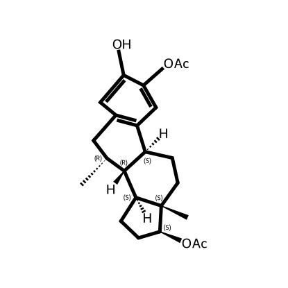 CC(=O)Oc1cc2c(cc1O)C[C@@H](C)[C@@H]1[C@@H]2CC[C@]2(C)[C@@H](OC(C)=O)CC[C@@H]12